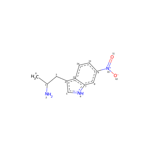 CC(N)Cc1c[nH]c2cc([N+](=O)[O-])ccc12